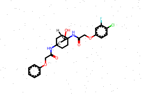 O=C(COc1ccccc1)NC12CCC(NC(=O)COc3ccc(Cl)c(F)c3)(CC1)[C@@H](O)C2